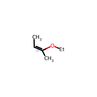 [CH2]CO/C(C)=C\C